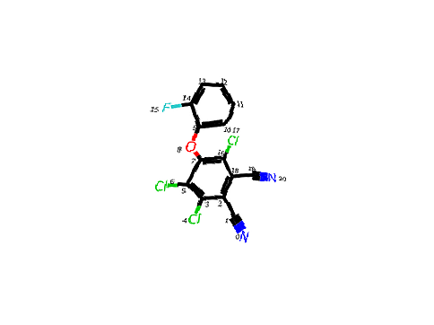 N#Cc1c(Cl)c(Cl)c(Oc2ccccc2F)c(Cl)c1C#N